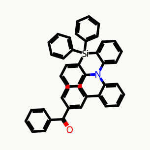 O=C(c1ccccc1)c1cccc(-c2ccccc2N2c3ccccc3[Si](c3ccccc3)(c3ccccc3)c3ccccc32)c1